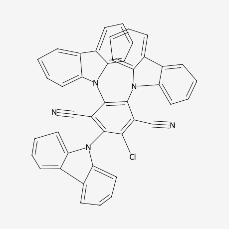 N#Cc1c(Cl)c(-n2c3ccccc3c3ccccc32)c(C#N)c(-n2c3ccccc3c3ccccc32)c1-n1c2ccccc2c2ccccc21